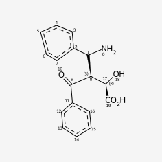 NC(c1ccccc1)[C@H](C(=O)c1ccccc1)[C@@H](O)C(=O)O